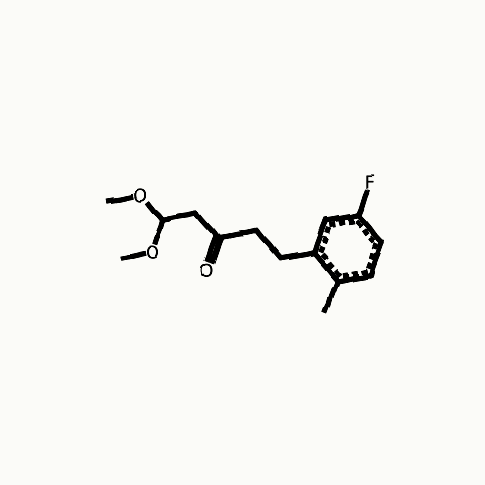 COC(CC(=O)CCc1cc(F)ccc1C)OC